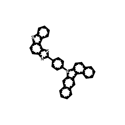 c1ccc2cc3c(cc2c1)c1c2ccccc2ccc1n3-c1ccc(-c2nc3ccc4sc5ccccc5c4c3s2)cc1